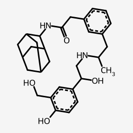 CC(Cc1cccc(CC(=O)NC2C3CC4CC(C3)CC2C4)c1)NCC(O)c1ccc(O)c(CO)c1